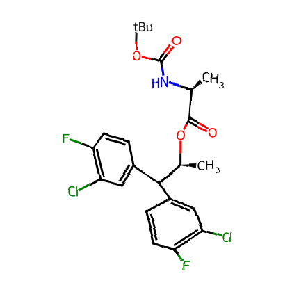 C[C@H](NC(=O)OC(C)(C)C)C(=O)O[C@@H](C)C(c1ccc(F)c(Cl)c1)c1ccc(F)c(Cl)c1